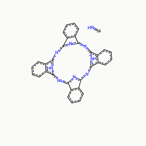 [NH]=[Ni].c1ccc2c(c1)-c1nc-2nc2[nH]c(nc3nc(nc4[nH]c(n1)c1ccccc41)-c1ccccc1-3)c1ccccc21